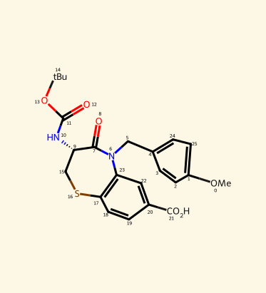 COc1ccc(CN2C(=O)[C@@H](NC(=O)OC(C)(C)C)CSc3ccc(C(=O)O)cc32)cc1